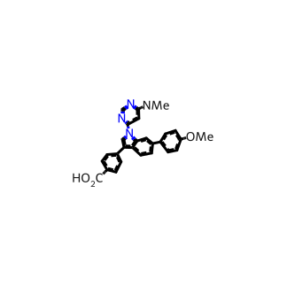 CNc1cc(-n2cc(-c3ccc(C(=O)O)cc3)c3ccc(-c4ccc(OC)cc4)cc32)ncn1